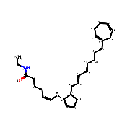 CCNC(=O)CCC/C=C\C[C@H]1CCCC1C/C=C/CCCCCC1=CCCC=CC1